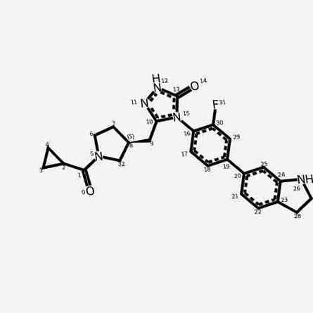 O=C(C1CC1)N1CC[C@@H](Cc2n[nH]c(=O)n2-c2ccc(-c3ccc4c(c3)NCC4)cc2F)C1